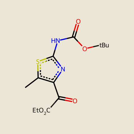 CCOC(=O)C(=O)c1nc(NC(=O)OC(C)(C)C)sc1C